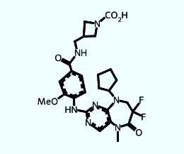 COc1cc(C(=O)NCC2CN(C(=O)O)C2)ccc1Nc1ncc2c(n1)N(C1CCCC1)CC(F)(F)C(=O)N2C